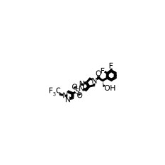 O=C([C@@H](CO)c1cccc(F)c1F)N1Cc2cn(S(=O)(=O)c3cnn(CC(F)(F)F)c3)nc2C1